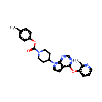 Cc1ccc(OC(=O)N2CCC(n3ccc4c(Oc5cccnc5C)ncnc43)CC2)cc1